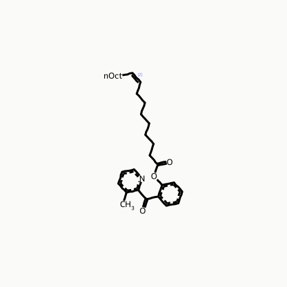 CCCCCCCC/C=C\CCCCCCCC(=O)Oc1ccccc1C(=O)c1ncccc1C